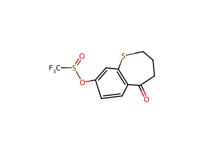 O=C1CCCSc2cc(OS(=O)C(F)(F)F)ccc21